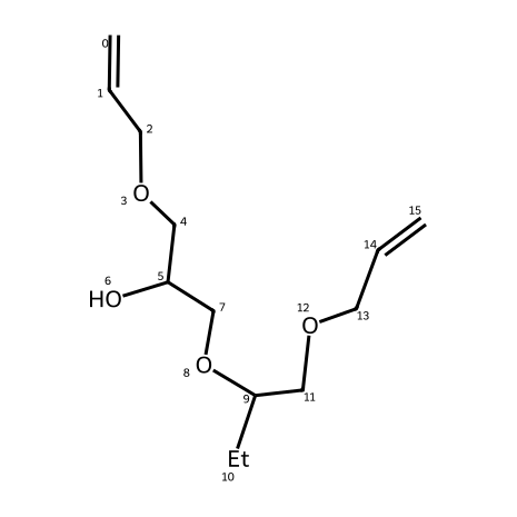 C=CCOCC(O)COC(CC)COCC=C